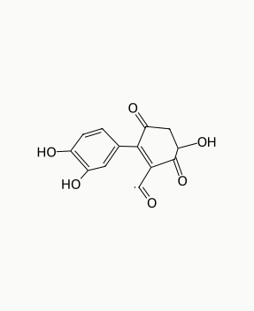 O=[C]C1=C(c2ccc(O)c(O)c2)C(=O)CC(O)C1=O